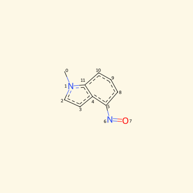 Cn1ccc2c(N=O)cccc21